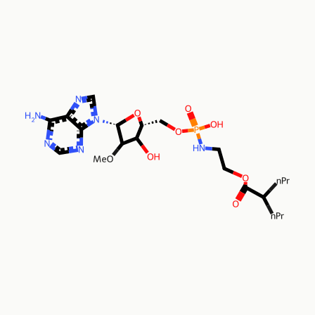 CCCC(CCC)C(=O)OCCNP(=O)(O)OC[C@H]1O[C@@H](n2cnc3c(N)ncnc32)C(OC)C1O